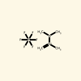 C=[N+](C)N(C)C.F[P-](F)(F)(F)(F)F